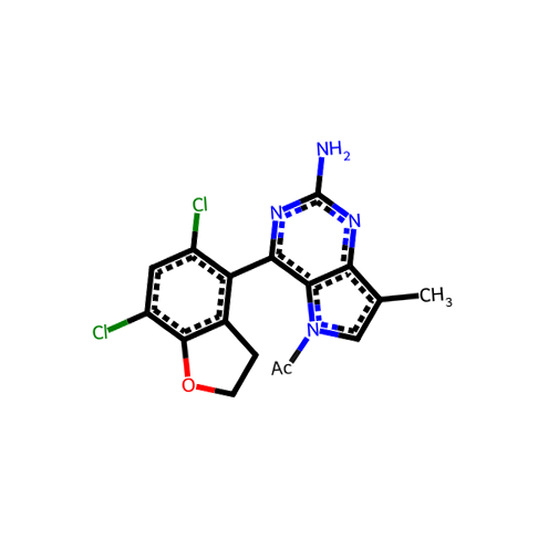 CC(=O)n1cc(C)c2nc(N)nc(-c3c(Cl)cc(Cl)c4c3CCO4)c21